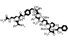 CC[C@H](C)[C@@H]([C@H](CC(=O)N1CCC[C@H]1[C@H](OC)[C@@H](C)C(=O)N[C@H](C)[C@H](O)c1ccccc1)OC)N(C)C(=O)[C@@H](NC(=O)[C@H](C(C)C)[N+](C)(C)Cc1ccc(NC(=O)[C@H](CCCNC(N)=O)NC(=O)[C@@H](N)C(C)C)cc1)C(C)C